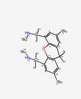 CC(C)(C)N[Si](C)(C)c1cc(C(C)(C)C)cc2c1Oc1c(cc(C(C)(C)C)cc1[Si](C)(C)NC(C)(C)C)C2(C)C